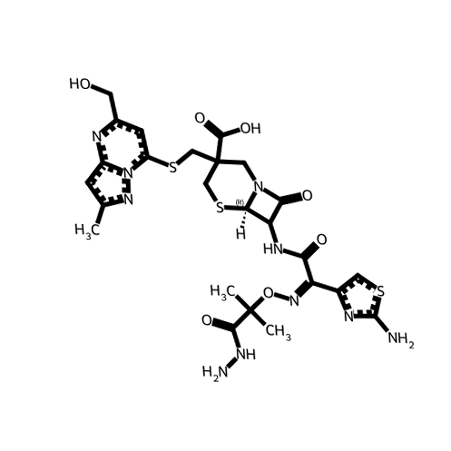 Cc1cc2nc(CO)cc(SCC3(C(=O)O)CS[C@@H]4C(NC(=O)C(=NOC(C)(C)C(=O)NN)c5csc(N)n5)C(=O)N4C3)n2n1